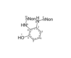 CCCCCCCCCNc1cccc(O)c1NCCCCCCCCC